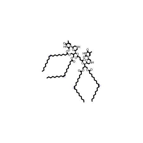 CCCCCCCC/C=C\CCCCCCCC(=O)OCC(COC(=O)CCCCCCC/C=C\CCCCCCCC)C(OC(=O)CCC(=O)OC(C(COC(=O)CCCCCCC/C=C\CCCCCCCC)COC(=O)CCCCCCC/C=C\CCCCCCCC)[C@@H]1CNC[C@H](n2cc(C)c(=O)[nH]c2=O)O1)[C@@H]1CNC[C@H](n2cc(C)c(=O)[nH]c2=O)O1